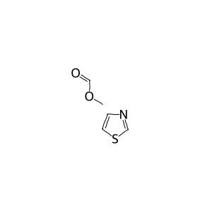 COC=O.c1cscn1